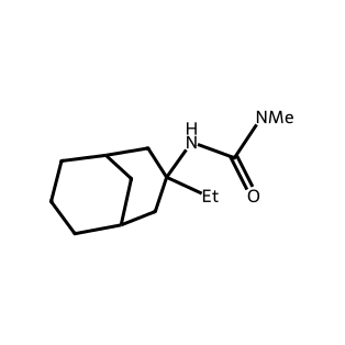 CCC1(NC(=O)NC)CC2CCCC(C2)C1